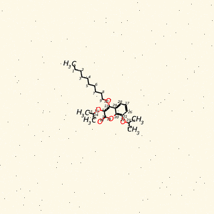 CCCCCCCCCCOc1c(OC(C)C)c(=O)oc2c(OC(C)C)cccc12